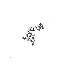 COc1ccc(F)cc1C(=O)c1cnc(Nc2ccc(OC3CCCN(S(C)(=O)=O)C3)cc2)nc1N